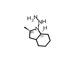 C[C@@H]1CC2CCCC[C@@H]2N1NN